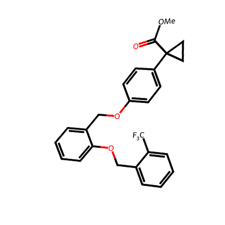 COC(=O)C1(c2ccc(OCc3ccccc3OCc3ccccc3C(F)(F)F)cc2)CC1